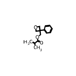 C=C(C)C(=O)OCC1(c2ccccc2)COC1